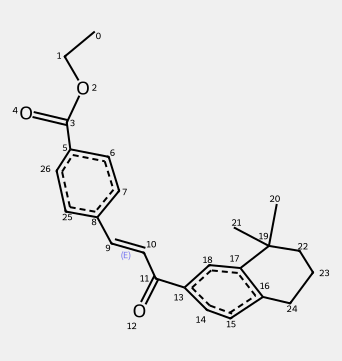 CCOC(=O)c1ccc(/C=C/C(=O)c2ccc3c(c2)C(C)(C)CCC3)cc1